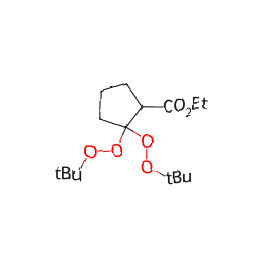 CCOC(=O)C1CCCC1(OOC(C)(C)C)OOC(C)(C)C